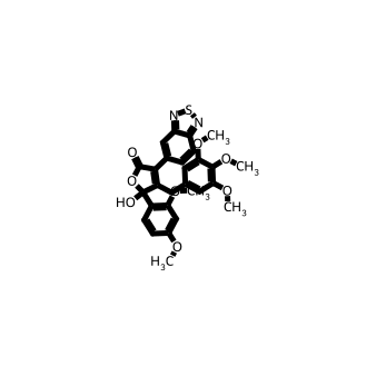 COc1ccc(C2(O)OC(=O)C(c3ccc4nsnc4c3)=C2Cc2cc(OC)c(OC)c(OC)c2)c(OC)c1